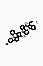 C=Cc1c(/C=C\C)c2ccccc2n1-c1cccc2c1c1ccccc1n2-c1cc(-c2ccccc2-n2c3ccccc3c3cc(C#N)ccc32)ccc1C#N